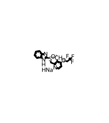 Cc1c(OCC(F)(F)F)ccnc1C[S+]([O-])c1nc2ccccc2[nH]1.[NaH]